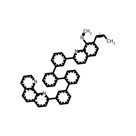 C=Nc1c(/C=C\C)ccc2ccc(-c3cccc(-c4ccccc4-c4ccccc4-c4cccc(-c5ccc6ccc7cccnc7c6n5)c4)c3)nc12